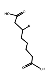 O=C(O)CCCC[CH]([K])CC(=O)O